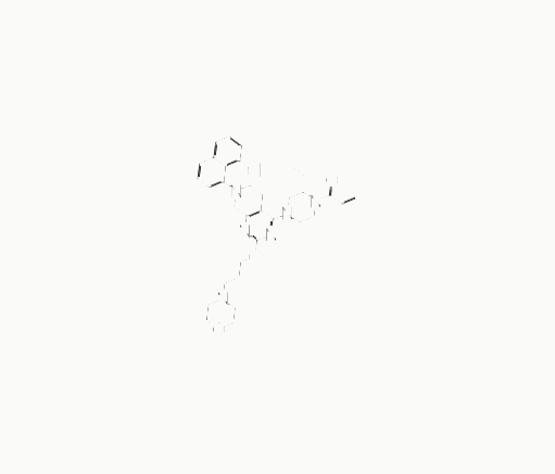 C=CC(=O)N1CCN(c2nc(OCCCN3CCO[C@@H](C)C3)nc3c2CCN(c2cccc4cccc(Cl)c24)C3)C[C@@H]1CC